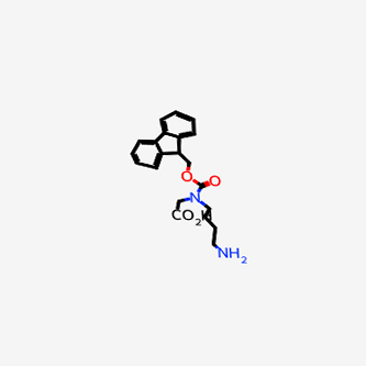 NCCCCN(CC(=O)O)C(=O)OCC1c2ccccc2-c2ccccc21